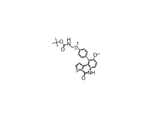 COc1ccc2[nH]c(=O)c3sccc3c2c1-c1ccc([C@H](C)CNC(=O)OC(C)(C)C)cc1